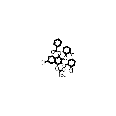 CC(C)(C)C(=O)Oc1c(Oc2ccccc2Cl)c(Oc2ccccc2Cl)c(OC(=O)c2ccccc2)c2ccc(Cl)cc12